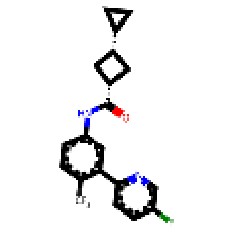 O=C(Nc1ccc(C(F)(F)F)c(-c2ccc(F)cn2)c1)[C@H]1C[C@@H](C2CC2)C1